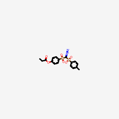 CCC(=O)Oc1ccc(S(=O)(=O)C(=[N+]=[N-])S(=O)(=O)c2ccc(C)cc2)cc1